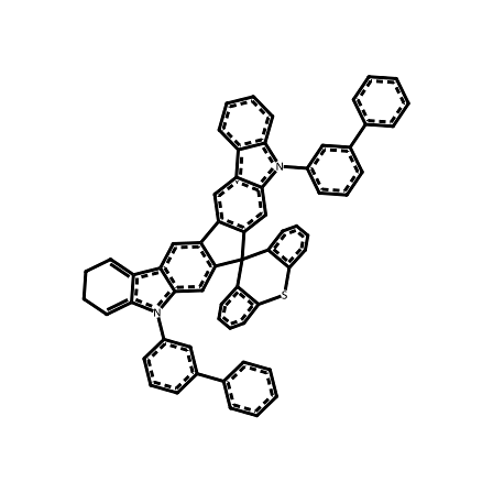 C1=c2c(n(-c3cccc(-c4ccccc4)c3)c3cc4c(cc23)-c2cc3c5ccccc5n(-c5cccc(-c6ccccc6)c5)c3cc2C42c3ccccc3Sc3ccccc32)=CCC1